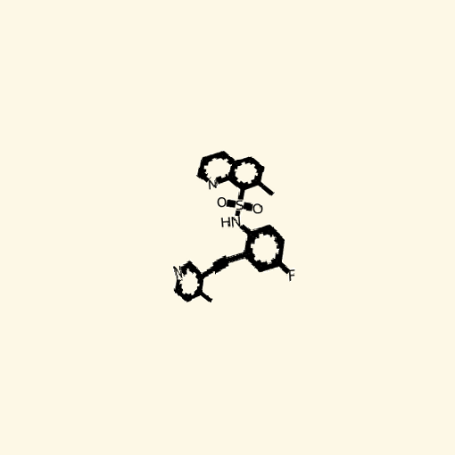 Cc1ccncc1C#Cc1cc(F)ccc1NS(=O)(=O)c1c(C)ccc2cccnc12